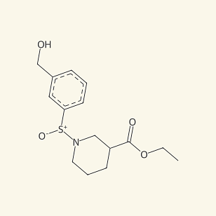 CCOC(=O)C1CCCN([S+]([O-])c2cccc(CO)c2)C1